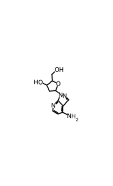 Nc1ccnc2c1cnn2C1CC(O)C(CO)O1